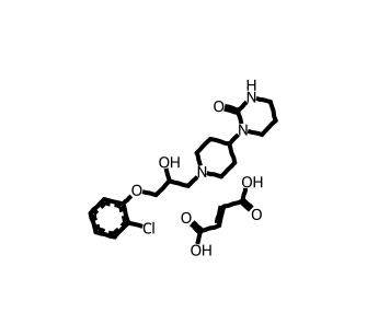 O=C(O)C=CC(=O)O.O=C1NCCCN1C1CCN(CC(O)COc2ccccc2Cl)CC1